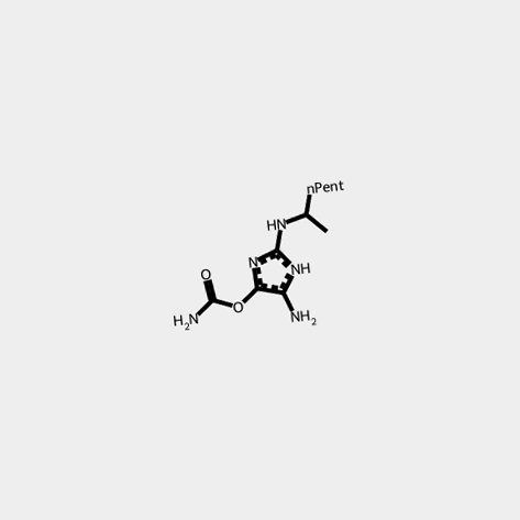 CCCCCC(C)Nc1nc(OC(N)=O)c(N)[nH]1